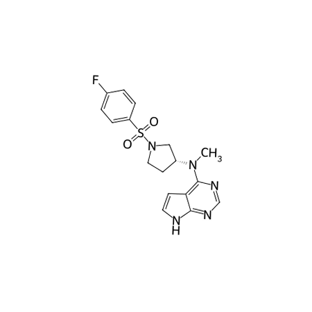 CN(c1ncnc2[nH]ccc12)[C@@H]1CCN(S(=O)(=O)c2ccc(F)cc2)C1